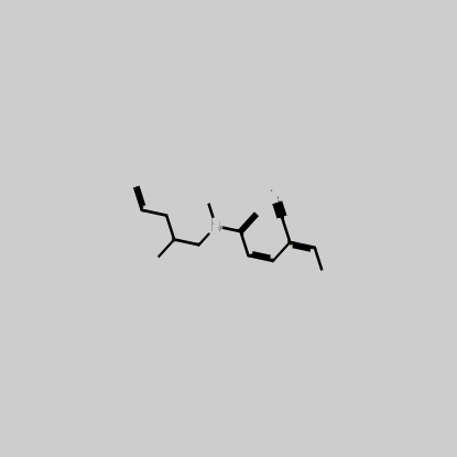 C=CCC(C)CN(C)C(=C)/C=C\C(C#N)=C/C